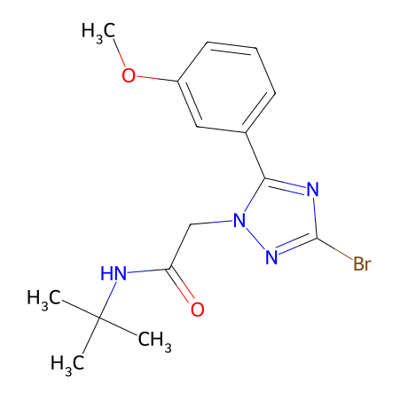 COc1cccc(-c2nc(Br)nn2CC(=O)NC(C)(C)C)c1